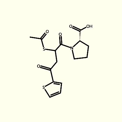 CC(=O)SC(CC(=O)c1cccs1)C(=O)N1CCC[C@H]1C(=O)O